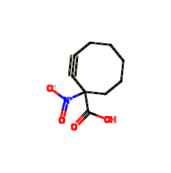 O=C(O)C1([N+](=O)[O-])C#CCCCCC1